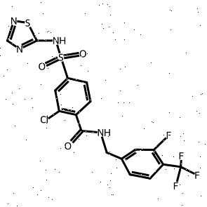 O=C(NCc1ccc(C(F)(F)F)c(F)c1)c1ccc(S(=O)(=O)Nc2ncns2)cc1Cl